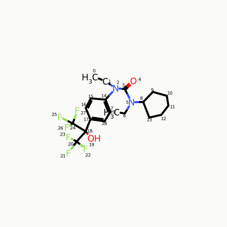 CCN(C(=O)N(CC)C1CCCCC1)c1ccc(C(O)(C(F)(F)F)C(F)(F)F)cc1